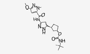 COc1cc(C(=O)Nc2cc([C@H]3CC[C@@H](OC(=O)NC(C)(C)C)C3)[nH]n2)n(C)n1